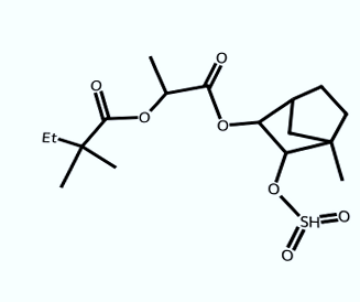 CCC(C)(C)C(=O)OC(C)C(=O)OC1C2CCC(C)(C2)C1O[SH](=O)=O